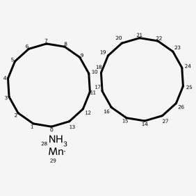 C1CCCCCCCCCCCCC1.C1CCCCCCCCCCCCC1.N.[Mn]